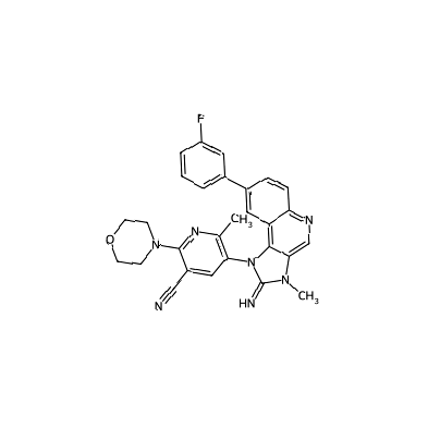 Cc1nc(N2CCOCC2)c(C#N)cc1-n1c(=N)n(C)c2cnc3ccc(-c4cccc(F)c4)cc3c21